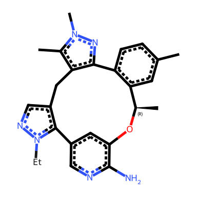 CCn1ncc2c1-c1cnc(N)c(c1)O[C@H](C)c1cc(C)ccc1-c1nn(C)c(C)c1C2